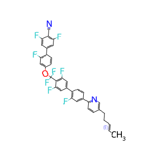 C/C=C/CCc1ccc(-c2ccc(-c3cc(F)c(C(F)(F)Oc4ccc(-c5cc(F)c(C#N)c(F)c5)c(F)c4)c(F)c3)c(F)c2)nc1